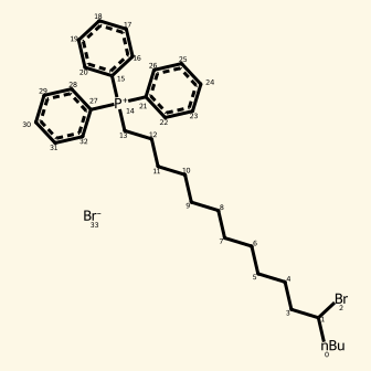 CCCCC(Br)CCCCCCCCCCC[P+](c1ccccc1)(c1ccccc1)c1ccccc1.[Br-]